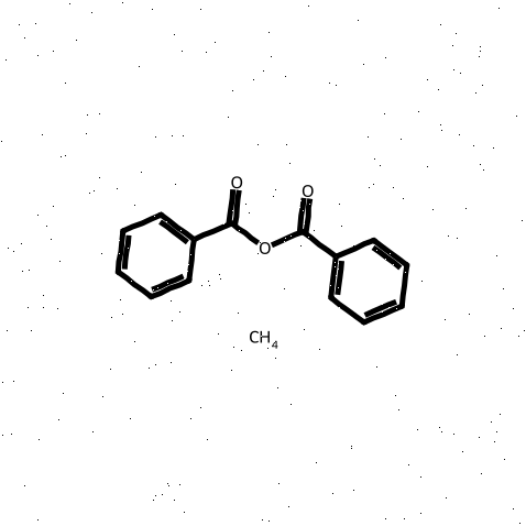 C.O=C(OC(=O)c1ccccc1)c1ccccc1